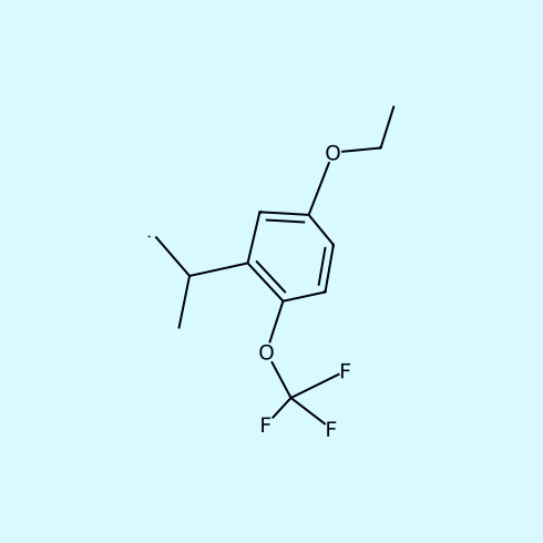 [CH2]C(C)c1cc(OCC)ccc1OC(F)(F)F